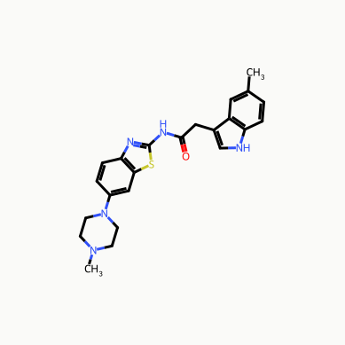 Cc1ccc2[nH]cc(CC(=O)Nc3nc4ccc(N5CCN(C)CC5)cc4s3)c2c1